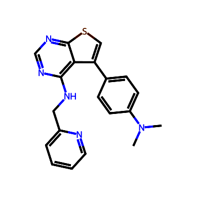 CN(C)c1ccc(-c2csc3ncnc(NCc4ccccn4)c23)cc1